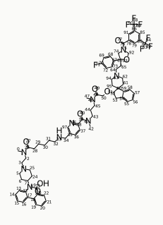 CN(CCN1CCC(N(C(=O)O)c2ccccc2-c2ccccc2)CC1)C(=O)CCCCCNCc1ccc(C(=O)N(C)CCCN(C)C(=O)CO[C@H]2Cc3ccccc3C23CCN(CC[C@@]2(c4ccc(F)cc4)CN(C(=O)c4cc(C(F)(F)F)cc(C(F)(F)F)c4)CO2)CC3)nc1